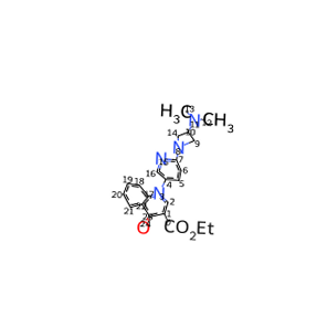 CCOC(=O)c1cn(-c2ccc(N3CC(N(C)C)C3)nc2)c2ccccc2c1=O